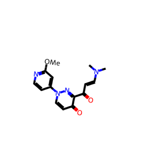 COc1cc(-n2ccc(=O)c(C(=O)C=CN(C)C)n2)ccn1